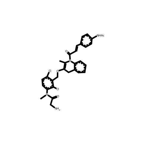 CC(=O)Nc1ccc(C=CC(=O)N2C(C)=C(OCc3c(Cl)ccc(N(C)C(=O)CN)c3Cl)Cc3ccccc32)cc1